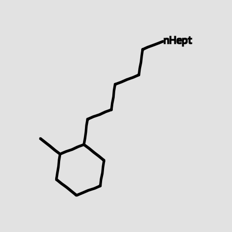 CCCCCCCCCCCCC1CCCCC1C